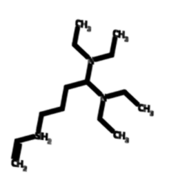 C=C[SiH2]CCCC(N(CC)CC)N(CC)CC